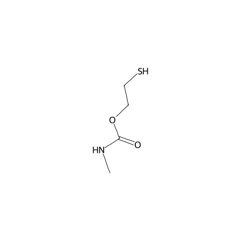 CNC(=O)OCCS